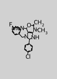 C=C1OC(NC)C2=C(NC(c3ccc(Cl)cc3)N2Cc2ccc(F)cc2)N1C